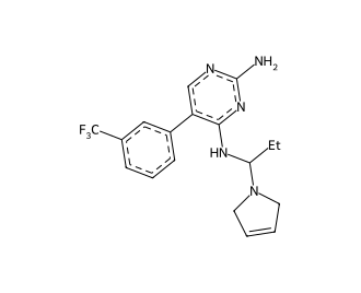 CCC(Nc1nc(N)ncc1-c1cccc(C(F)(F)F)c1)N1CC=CC1